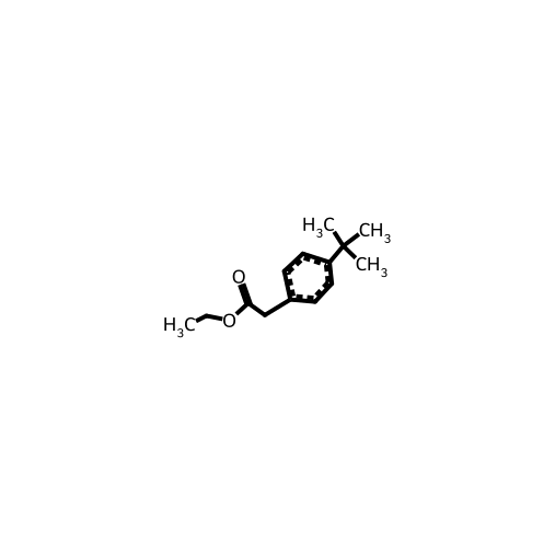 CCOC(=O)Cc1ccc(C(C)(C)C)cc1